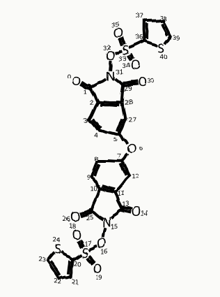 O=C1c2ccc(Oc3ccc4c(c3)C(=O)N(OS(=O)(=O)c3cccs3)C4=O)cc2C(=O)N1OS(=O)(=O)c1cccs1